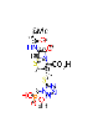 CCOP(=O)(O)Cn1nnnc1SCC1=C(C(=O)O)N2C(=O)[C@@H](NC(=O)CSC)[C@H]2SC1